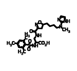 Cc1cc(C)c(S(=O)(=O)NC(CNC(=O)C2=NOC(CCCCN(C)c3ncc[nH]3)C2)C(=O)O)c(C)c1